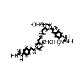 N=C(N)Nc1ccc(CC(=O)N2CCN([C]=O)C(CCOCCC3CN(C(=O)Cc4ccc(NC(=N)N)cc4)CCN3[C]=O)C2)cc1